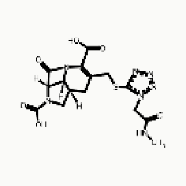 CNC(=O)Cn1nnnc1SCC1=C(C(=O)O)N2C(=O)[C@@H]3[C@H]2[C@H](C1)CN3C(=O)O